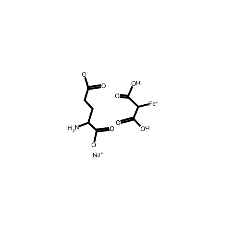 NC(CCC(=O)[O-])C(=O)[O-].O=C(O)[CH]([Fe+])C(=O)O.[Na+]